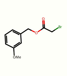 COc1cccc(COC(=O)CBr)c1